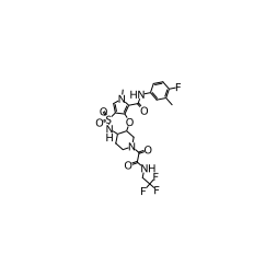 Cc1cc(NC(=O)c2c3c(cn2C)S(=O)(=O)NC2CCN(C(=O)C(=O)NCC(F)(F)F)CC2O3)ccc1F